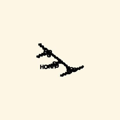 CCCCCCOCC(COCCCCCC)OC(=O)CCCCCCCN(CCCCCCCC(=O)OC(COCCCCCC)COCCCCCC)CCC(=O)OCCNCCO